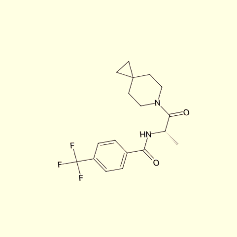 C[C@H](NC(=O)c1ccc(C(F)(F)F)cc1)C(=O)N1CCC2(CC1)CC2